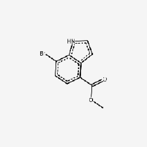 COC(=O)c1ccc(Br)c2[nH]ccc12